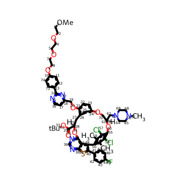 COCCOCCOCCOc1ccc(-c2nccc(COc3ccc4cc3C[C@H](C(=O)OC(C)(C)C)Oc3ncnc5sc(-c6ccc(F)cc6)c(c35)-c3c(C)c(Cl)c(c(Cl)c3C)O[C@H](CN3CCN(C)CC3)CO4)n2)cc1